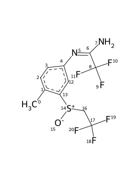 Cc1ccc(/N=C(/N)C(F)(F)F)cc1[S+]([O-])CC(F)(F)F